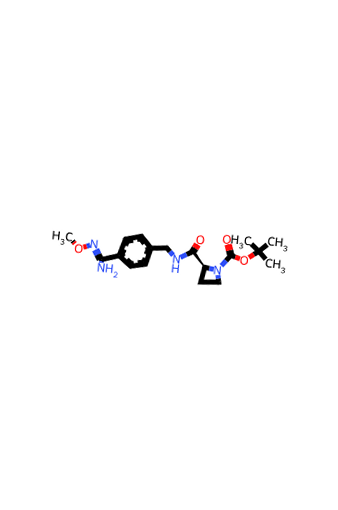 CO/N=C(\N)c1ccc(CNC(=O)[C@@H]2CCN2C(=O)OC(C)(C)C)cc1